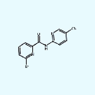 N#Cc1ccc(NC(=O)c2cccc(Br)n2)nc1